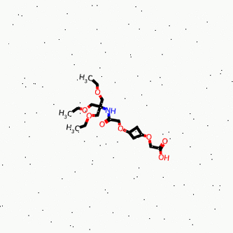 CCOCC(COCC)(COCC)NC(=O)COC1CC(OCC(=O)O)C1